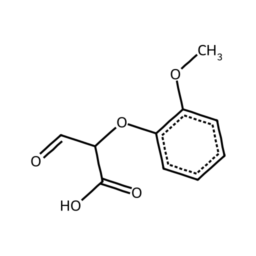 COc1ccccc1OC(C=O)C(=O)O